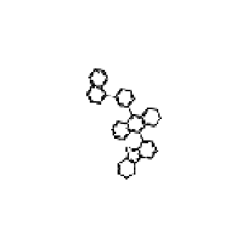 C1=Cc2oc3c(-c4c5c(c(-c6cccc(-c7cccc8ccccc78)c6)c6ccccc46)=CCCC=5)cccc3c2CC1